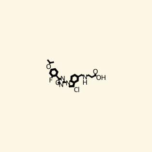 CC(C)Oc1ccc(-c2nc(-n3cc(Cl)c4cc(CNCCC(=O)O)ccc43)no2)c(F)c1